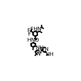 CNc1cc(-n2nc(C)cc2Nc2cc(NC(=O)c3cc(C(C)NC(C)C)cc(C(F)(F)F)c3)ccc2C)ncn1